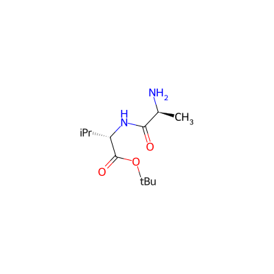 CC(C)[C@H](NC(=O)[C@H](C)N)C(=O)OC(C)(C)C